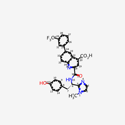 Cn1ccnc1[C@H](Cc1ccc(O)cc1)NC(=O)c1cc(C(=O)O)c2cc(-c3cccc(C(F)(F)F)c3)ccc2n1